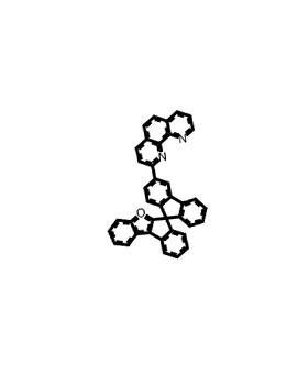 c1ccc2c(c1)-c1cc(-c3ccc4ccc5cccnc5c4n3)ccc1C21c2ccccc2-c2c1oc1ccccc21